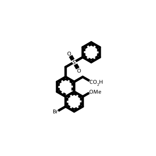 COc1ccc(Br)c2ccc(CS(=O)(=O)c3ccccc3)c(CC(=O)O)c12